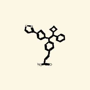 O=C(O)/C=C/c1ccc(/C(=C(\c2ccccc2)C2CCC2)c2ccc(-c3ccon3)cc2)cc1